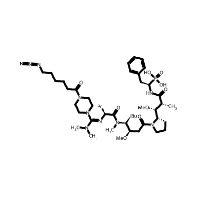 CC[C@H](C)[C@@H]([C@@H](CC(=O)N1CCC[C@H]1[C@H](OC)[C@@H](C)C(=O)N[C@@H](Cc1ccccc1)P(=O)(O)O)OC)N(C)C(=O)[C@@H](/N=C(/N(C)C)N1CCN(C(=O)CCCCCN=[N+]=[N-])CC1)C(C)C